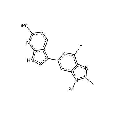 Cc1nc2c(F)cc(-c3c[nH]c4nc(C(C)C)ccc34)cc2n1C(C)C